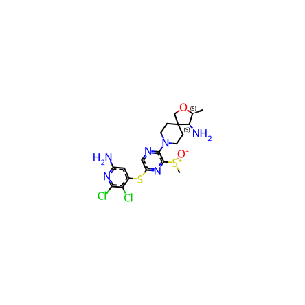 C[C@@H]1OCC2(CCN(c3ncc(Sc4cc(N)nc(Cl)c4Cl)nc3[S+](C)[O-])CC2)[C@@H]1N